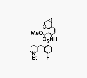 CCN1CCCC(Cc2cc(F)ccc2SNc2ccc3c(c2C(=O)OC)OCC2CC32)C1